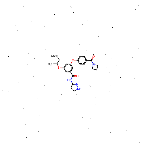 COCC(C)Oc1cc(Oc2ccc(C(=O)N3CCC3)cc2)cc(C(=O)NC2=NNCC2)c1